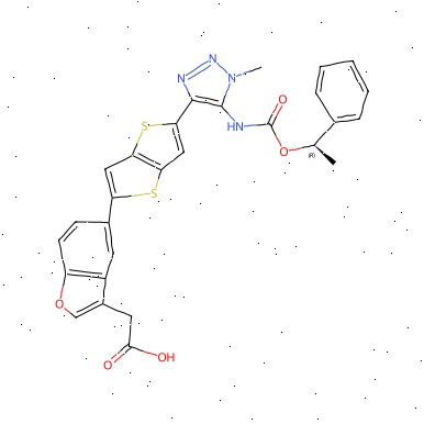 C[C@@H](OC(=O)Nc1c(-c2cc3sc(-c4ccc5occ(CC(=O)O)c5c4)cc3s2)nnn1C)c1ccccc1